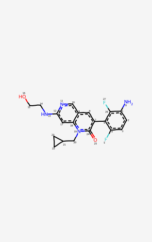 Nc1ccc(F)c(-c2cc3cnc(NCCO)cc3n(CC3CC3)c2=O)c1F